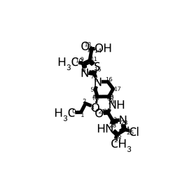 CCCO[C@H]1CN(c2nc(C)c(C(=O)O)s2)CC[C@H]1NC(=O)c1nc(Cl)c(C)[nH]1